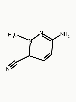 CN1N=C(N)C=CC1C#N